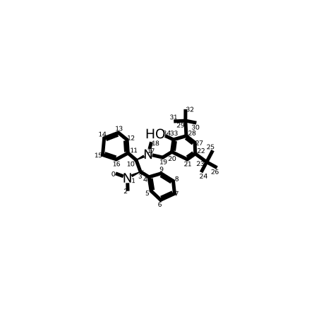 CN(C)[C@H](c1ccccc1)[C@@H](c1ccccc1)N(C)Cc1cc(C(C)(C)C)cc(C(C)(C)C)c1O